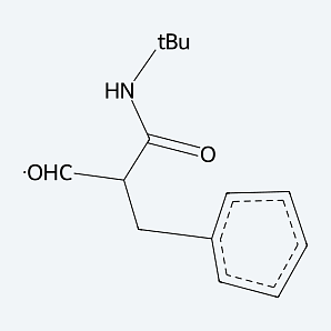 CC(C)(C)NC(=O)C([C]=O)Cc1ccccc1